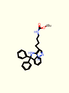 CC(C)(C)OC(=O)NCCCCc1cn[nH]c1NC(c1ccccc1)(c1ccccc1)c1ccccc1